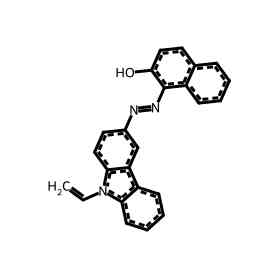 C=Cn1c2ccccc2c2cc(N=Nc3c(O)ccc4ccccc34)ccc21